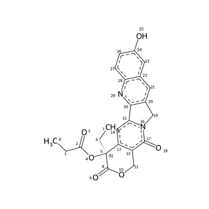 CCC(=O)O[C@]1(CC)C(=O)OCc2c1cc1n(c2=O)Cc2cc3cc(O)ccc3nc2-1